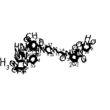 COc1cc(C(=O)NC2CCN(CCCC(=O)Nc3cccc4c3C(=O)N(C3CCC(=O)NC3=O)C4=O)CC2)c(F)cc1Nc1ncc2c(n1)N(C1CCCC1)CC(F)(F)C(=O)N2C